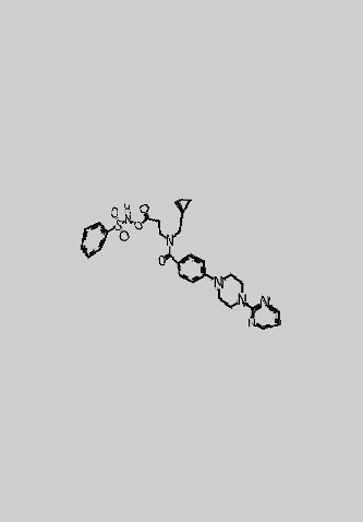 O=C(CCN(CC1CC1)C(=O)c1ccc(N2CCN(c3ncccn3)CC2)cc1)ONS(=O)(=O)c1ccccc1